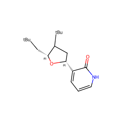 CC(C)(C)C[C@H]1O[C@@H](c2ccc[nH]c2=O)CC1C(C)(C)C